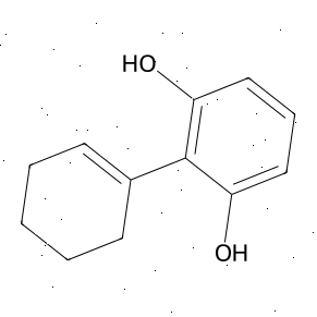 Oc1cccc(O)c1C1=CCCCC1